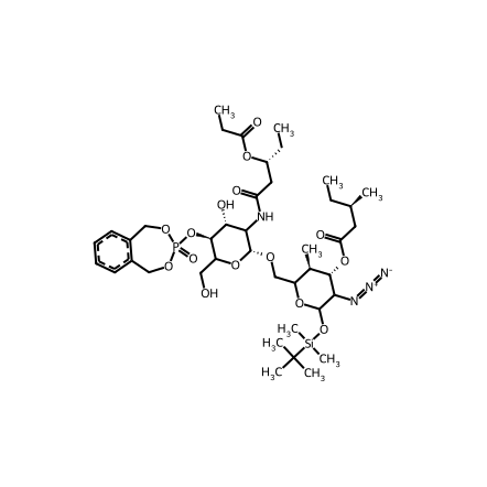 CCC(=O)O[C@H](CC)CC(=O)NC1[C@H](OCC2OC(O[Si](C)(C)C(C)(C)C)C(N=[N+]=[N-])[C@@H](OC(=O)C[C@H](C)CC)[C@@H]2C)OC(CO)[C@@H](OP2(=O)OCc3ccccc3CO2)[C@@H]1O